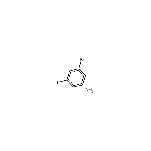 Brc1cccc(I)c1.N